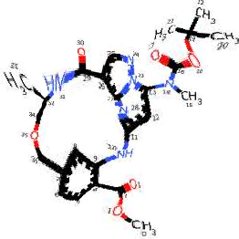 COC(=O)c1ccc2cc1Nc1cc(N(C)C(=O)OC(C)(C)C)n3ncc(c3n1)C(=O)N[C@H](C)COC2